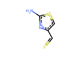 Nc1nc(C=S)cs1